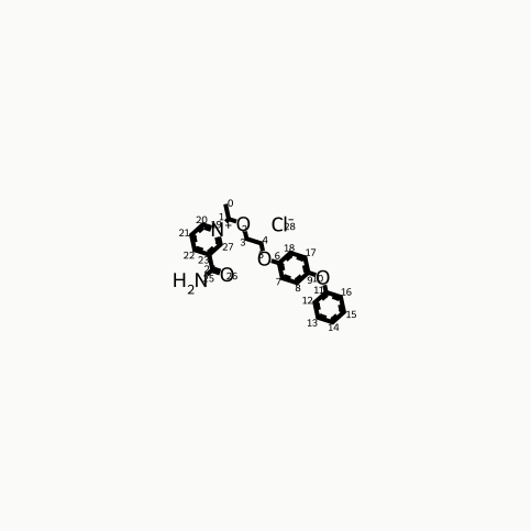 CC(OCCOc1ccc(Oc2ccccc2)cc1)[n+]1cccc(C(N)=O)c1.[Cl-]